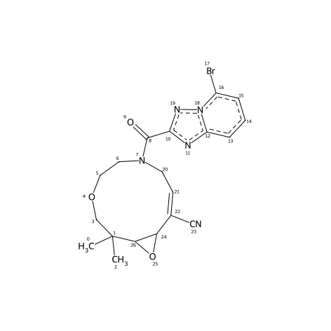 CC1(C)COCCN(C(=O)c2nc3cccc(Br)n3n2)C/C=C(/C#N)C2OC21